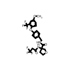 COc1ccc(Oc2ccc(CNC(=O)C3(NC(=O)CC(F)(F)F)CCOC3)cc2)c(C(F)(F)F)c1